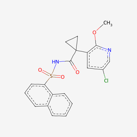 COc1ncc(Cl)cc1C1(C(=O)NS(=O)(=O)c2cccc3ccccc23)CC1